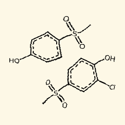 CS(=O)(=O)c1ccc(O)c(Cl)c1.CS(=O)(=O)c1ccc(O)cc1